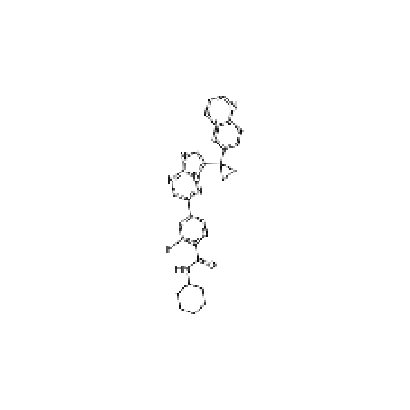 O=C(NC1CCCCC1)c1ccc(-c2cnc3ncc(C4(c5ccc6ncccc6c5)CC4)n3n2)cc1F